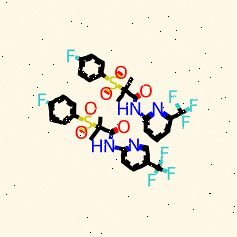 CC(C)(C(=O)Nc1ccc(C(F)(F)F)cn1)S(=O)(=O)c1ccc(F)cc1.CC(C)(C(=O)Nc1cccc(C(F)(F)F)n1)S(=O)(=O)c1ccc(F)cc1